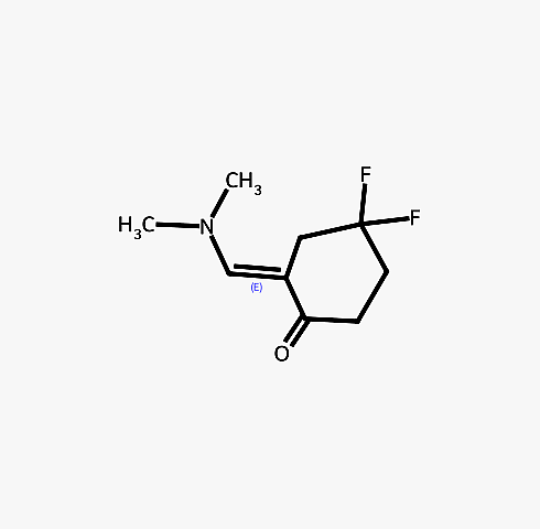 CN(C)/C=C1\CC(F)(F)CCC1=O